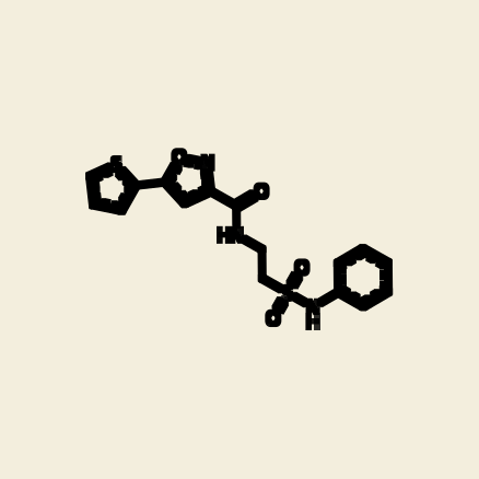 O=C(NCCS(=O)(=O)Nc1ccccc1)c1cc(-c2cccs2)on1